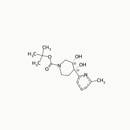 Cc1cccc([C@@]2(O)CCN(C(=O)OC(C)(C)C)C[C@@H]2O)n1